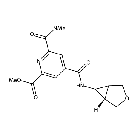 CNC(=O)c1cc(C(=O)NC2C3COC[C@@H]32)cc(C(=O)OC)n1